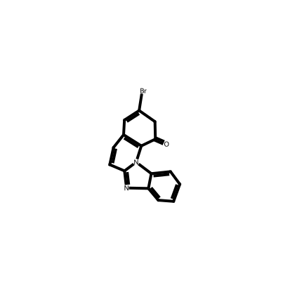 O=C1CC(Br)=Cc2ccc3nc4ccccc4n3c21